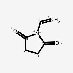 C=C[N+]1C(=O)CCC1=O